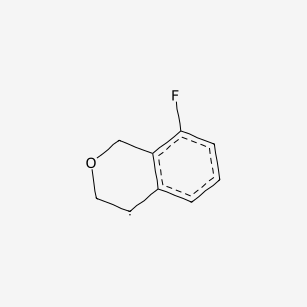 Fc1cccc2c1COC[CH]2